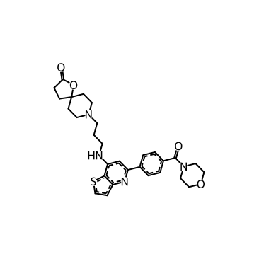 O=C1CCC2(CCN(CCCNc3cc(-c4ccc(C(=O)N5CCOCC5)cc4)nc4ccsc34)CC2)O1